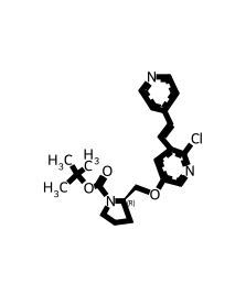 CC(C)(C)OC(=O)N1CCC[C@@H]1COc1cnc(Cl)c(C=Cc2ccncc2)c1